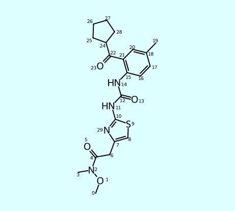 CON(C)C(=O)Cc1csc(NC(=O)Nc2ccc(C)cc2C(=O)C2CCCC2)n1